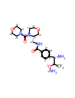 NOC([C@@H](N)c1ccc(C(=O)NC[C@H]2COCCN2C(=O)N2CCOCC2)cc1)C(F)(F)F